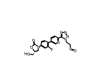 O=NCCn1nnnc1-c1ccc(-c2ccc(N3C[C@H](CO)OC3=O)cc2F)cn1